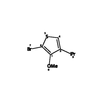 COc1c(C(C)C)csc1Br